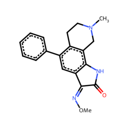 CON=C1C(=O)Nc2c1cc(-c1ccccc1)c1c2CN(C)CC1